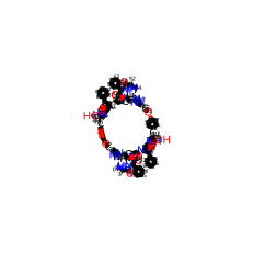 CN[C@@H](C)C(=O)N[C@H](C(=O)N1C[C@H]2C[C@H]1C(=O)N[C@@H](CCc1ccccc1)C(=O)N[C@H](C(=O)O)Cc1ccc(cc1)OCc1cn(nn1)[C@H]1C[C@@H](C(C)C[C@@H](CCc3ccccc3)C(=O)N[C@H](C(=O)O)Cc3ccc(cc3)OCc3cn2nn3)N(C(=O)[C@@H](NC(=O)[C@H](C)NC)c2ccccc2)C1)c1ccccc1